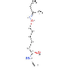 CC/C(C)=N/OCCCCCC(=O)NC